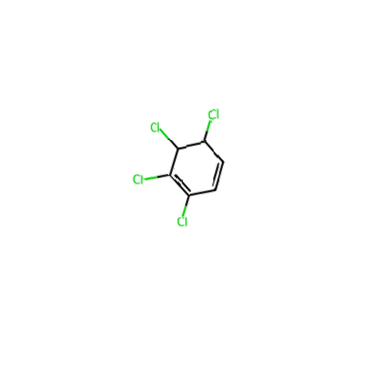 ClC1=C(Cl)C(Cl)C(Cl)C=C1